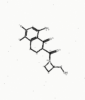 Cc1c(F)cc(N)c2c1CCC(C(=O)N1CCC1CO)C2=O